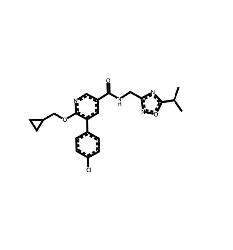 CC(C)c1nc(CNC(=O)c2cnc(OCC3CC3)c(-c3ccc(Cl)cc3)c2)no1